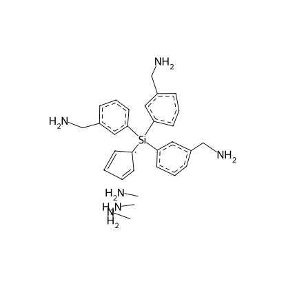 CN.CN.CN.NCc1cccc([Si]([C]2C=CC=C2)(c2cccc(CN)c2)c2cccc(CN)c2)c1